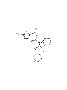 CC(C)(C)[C@H](NC(=O)n1c(=O)n(CC2CCOCC2)c2ccccc21)c1nnc(N)o1